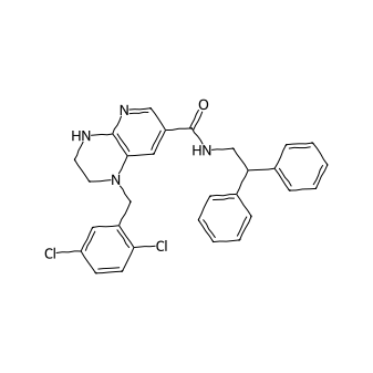 O=C(NCC(c1ccccc1)c1ccccc1)c1cnc2c(c1)N(Cc1cc(Cl)ccc1Cl)CCN2